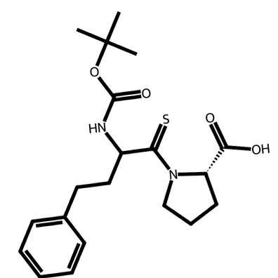 CC(C)(C)OC(=O)NC(CCc1ccccc1)C(=S)N1CCC[C@H]1C(=O)O